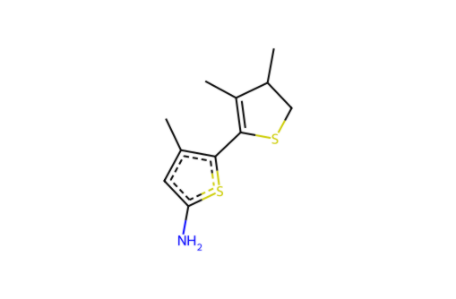 CC1=C(c2sc(N)cc2C)SCC1C